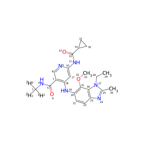 [2H]C([2H])([2H])NC(=O)c1cnc(NC(=O)C2CC2)cc1Nc1ccc2nc(C)n(CC)c2c1OC